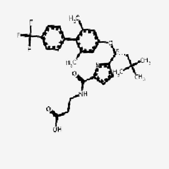 Cc1cc(O[C@H](CC(C)(C)C)c2ccc(C(=O)NCCC(=O)O)s2)cc(C)c1-c1ccc(C(F)(F)F)cc1